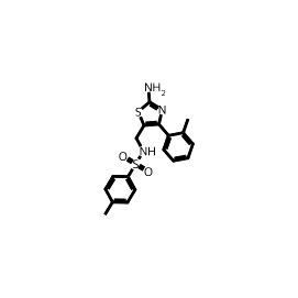 Cc1ccc(S(=O)(=O)NCc2sc(N)nc2-c2ccccc2C)cc1